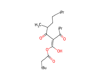 CC(C)CCC(C)C(=O)/C(C(=O)C(C)C)=C(/O)OC(=O)CC(C)(C)C